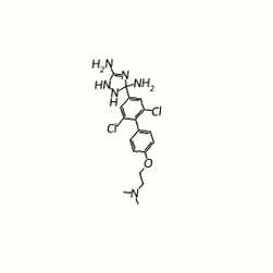 CN(C)CCOc1ccc(-c2c(Cl)cc(C3(N)N=C(N)NN3)cc2Cl)cc1